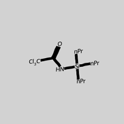 CCC[Si](CCC)(CCC)NC(=O)C(Cl)(Cl)Cl